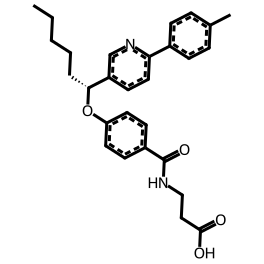 CCCCC[C@@H](Oc1ccc(C(=O)NCCC(=O)O)cc1)c1ccc(-c2ccc(C)cc2)nc1